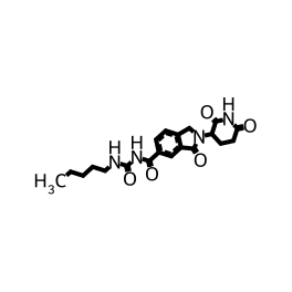 CCCCCNC(=O)NC(=O)c1ccc2c(c1)C(=O)N(C1CCC(=O)NC1=O)C2